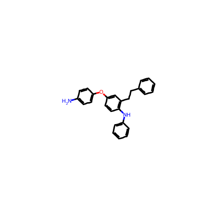 Nc1ccc(Oc2ccc(Nc3ccccc3)c(CCc3ccccc3)c2)cc1